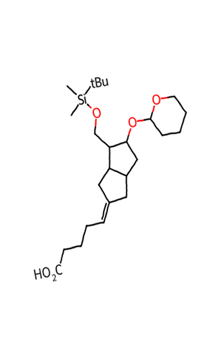 CC(C)(C)[Si](C)(C)OCC1C(OC2CCCCO2)CC2CC(=CCCCC(=O)O)CC21